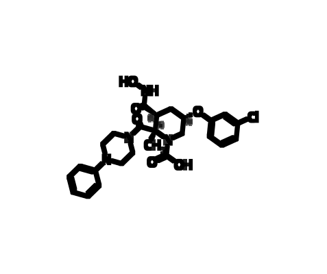 C[C@@]1(C(=O)N2CCN(c3ccccc3)CC2)[C@@H](C(=O)NO)C[C@H](Oc2cccc(Cl)c2)CN1C(=O)O